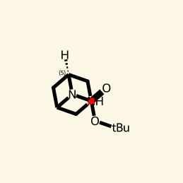 CC(C)(C)OC(=O)N1C2CNC[C@@H]1C2